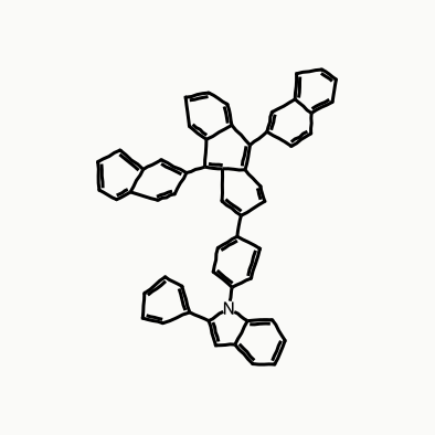 c1ccc(-c2cc3ccccc3n2-c2ccc(-c3ccc4c(-c5ccc6ccccc6c5)c5ccccc5c(-c5ccc6ccccc6c5)c4c3)cc2)cc1